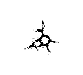 COC(=O)c1cc(F)c(Br)c2oc(=S)oc12